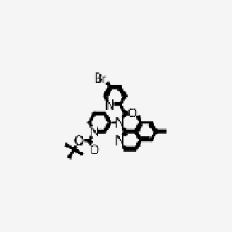 Cc1cc(C)c2c(N(C(=O)c3ccc(Br)cn3)[C@@H]3CCCN(C(=O)OC(C)(C)C)C3)nccc2c1